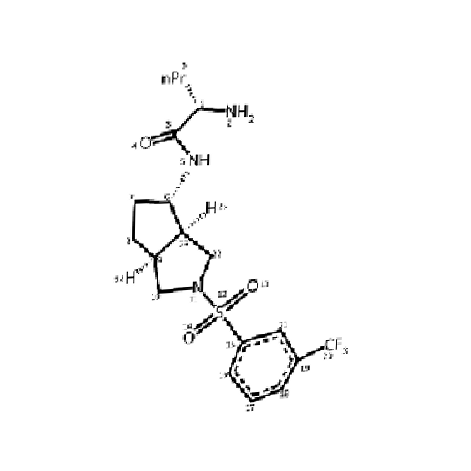 CCC[C@H](N)C(=O)N[C@H]1CC[C@@H]2CN(S(=O)(=O)c3cccc(C(F)(F)F)c3)C[C@@H]21